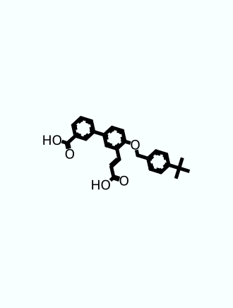 CC(C)(C)c1ccc(COc2ccc(-c3cccc(C(=O)O)c3)cc2/C=C/C(=O)O)cc1